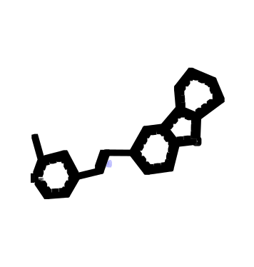 Cc1cc(/C=C/c2ccc3oc4ccccc4c3c2)ccn1